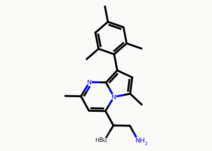 CCCCC(CN)c1cc(C)nc2c(-c3c(C)cc(C)cc3C)cc(C)n12